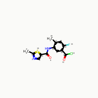 Cc1ncc(C(=O)Nc2cc(C(=O)Cl)c(F)cc2C)s1